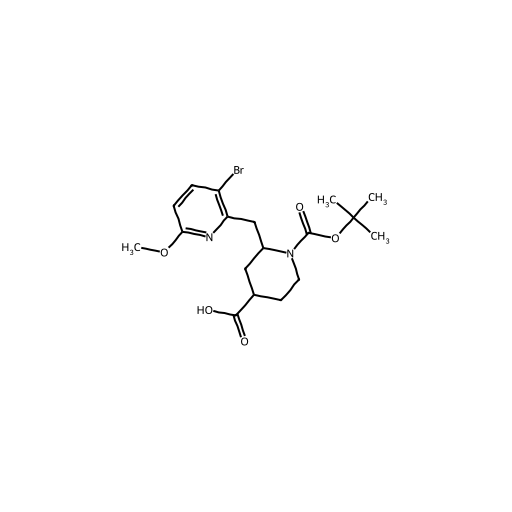 COc1ccc(Br)c(CC2CC(C(=O)O)CCN2C(=O)OC(C)(C)C)n1